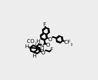 O=C(N[C@H](C(=O)O)C12C[C@@H]3C[C@@H](CC(OCCF)(C3)C1)C2)c1ccc2cc(F)ccc2c1OCc1ccc(C(F)(F)F)cc1